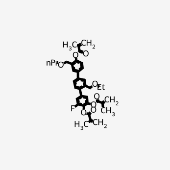 C=C(C)C(=O)Oc1ccc(-c2ccc(-c3cc(F)c(OC(=O)C(=C)C)c(OC(=O)C(=C)C)c3)c(COCC)c2)cc1COCCC